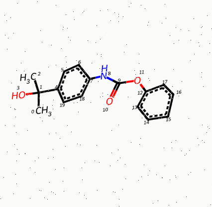 CC(C)(O)c1ccc(NC(=O)Oc2ccccc2)cc1